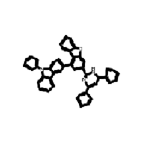 C1=C(c2ccccc2)N=C(c2cc(-c3ccc4c(c3)c3ccccc3n4-c3ccccc3)c3c(c2)oc2ccccc23)NC1c1ccccc1